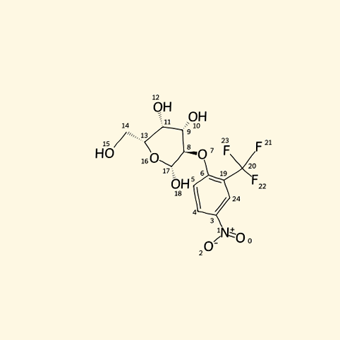 O=[N+]([O-])c1ccc(O[C@@H]2[C@@H](O)[C@@H](O)[C@@H](CO)O[C@H]2O)c(C(F)(F)F)c1